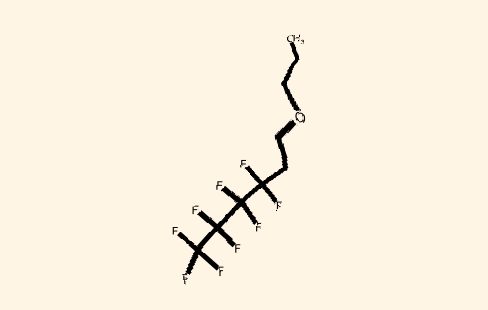 CCCOCCC(F)(F)C(F)(F)C(F)(F)C(F)(F)F